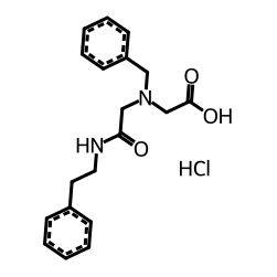 Cl.O=C(O)CN(CC(=O)NCCc1ccccc1)Cc1ccccc1